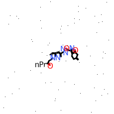 C=C1CCc2c(-c3nc(-c4cnc5c(ccn5CCC(=O)CCC)c4)no3)noc2C1